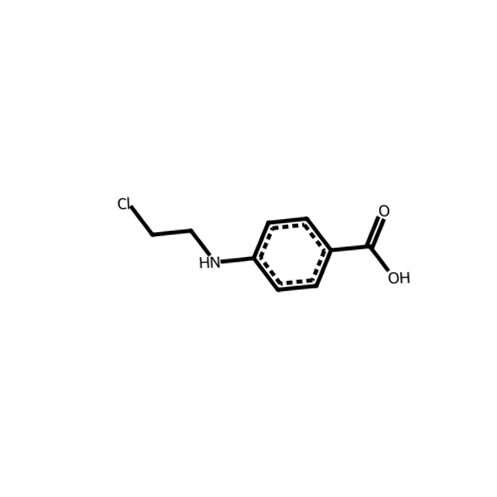 O=C(O)c1ccc(NCCCl)cc1